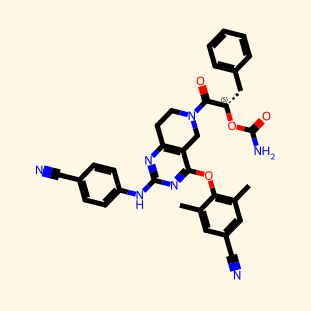 Cc1cc(C#N)cc(C)c1Oc1nc(Nc2ccc(C#N)cc2)nc2c1CN(C(=O)[C@H](Cc1ccccc1)OC(N)=O)CC2